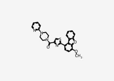 COc1ccc(-c2nc(C(=O)N3CCN(c4ccccn4)CC3)cs2)c2c1oc1ccccc12